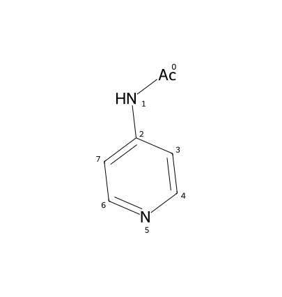 [CH2]C(=O)Nc1ccncc1